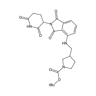 CC(C)(C)OC(=O)N1CCC(CNc2cccc3c2C(=O)N(C2CCC(=O)NC2=O)C3=O)C1